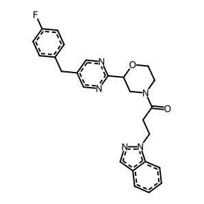 O=C(CCn1ncc2ccccc21)N1CCOC(c2ncc(Cc3ccc(F)cc3)cn2)C1